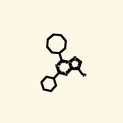 CC(C)c1cnn2c(C3CCCCCCC3)nc(C3CCCCC3)nc12